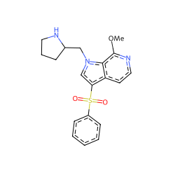 COc1nccc2c(S(=O)(=O)c3ccccc3)cn(CC3CCCN3)c12